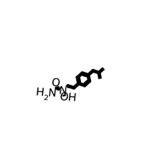 CC(C)Cc1ccc(CCN(O)C(N)=O)cc1